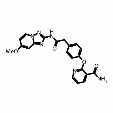 COc1ccn2nc(NC(=O)Cc3ccc(Oc4ncccc4C(N)=O)cc3)nc2c1